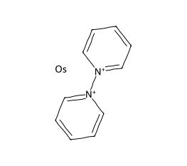 [Os].c1cc[n+](-[n+]2ccccc2)cc1